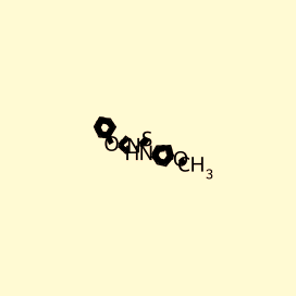 COc1ccc(NC(=S)N2CC(Oc3ccccc3)C2)cc1